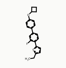 CCc1ccc(-c2ccc(-c3ccc(OC4CCC4)cc3)cc2F)s1